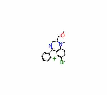 COCC1CN=C(c2ccccc2F)c2cc(Br)ccc2N1C